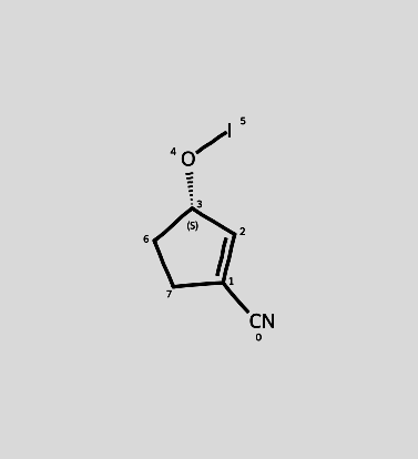 N#CC1=C[C@@H](OI)CC1